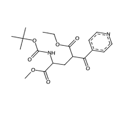 CCOC(=O)C(CC(NC(=O)OC(C)(C)C)C(=O)OC)C(=O)c1ccncc1